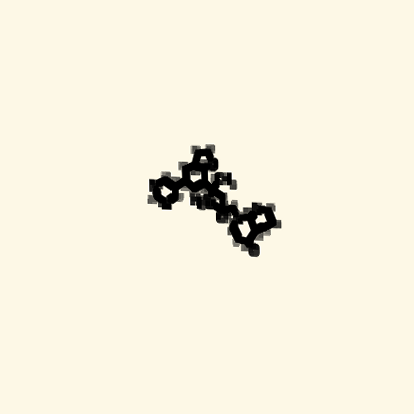 CC(C)(CC(O)(Cn1ccc(=O)c2cccnc21)C(F)(F)F)c1cc(-c2cncnc2)cc2c1OCC2